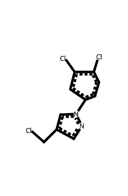 ClCc1cnn(-c2ccc(Cl)c(Cl)c2)c1